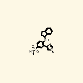 CNS(=O)(=O)c1ccc(NC2CCc3ccccc32)c(-c2cn(C)cn2)c1